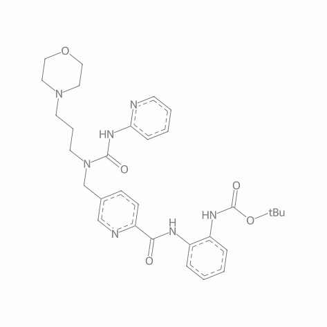 CC(C)(C)OC(=O)Nc1ccccc1NC(=O)c1ccc(CN(CCCN2CCOCC2)C(=O)Nc2ccccn2)cn1